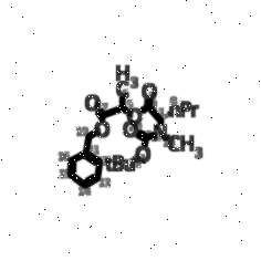 CCC[C@@H](C(=O)OC(C)C(=O)OCc1ccccc1)N(C)C(=O)OC(C)(C)C